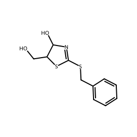 OCC1SC(SCc2ccccc2)=NC1O